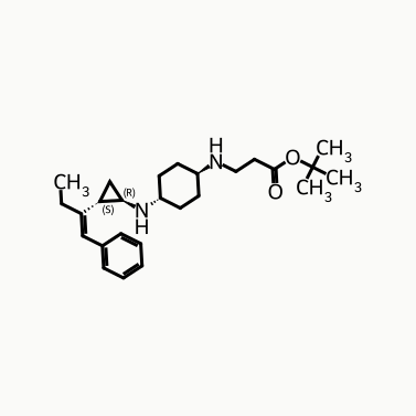 CCC(=Cc1ccccc1)[C@@H]1C[C@H]1N[C@H]1CC[C@H](NCCC(=O)OC(C)(C)C)CC1